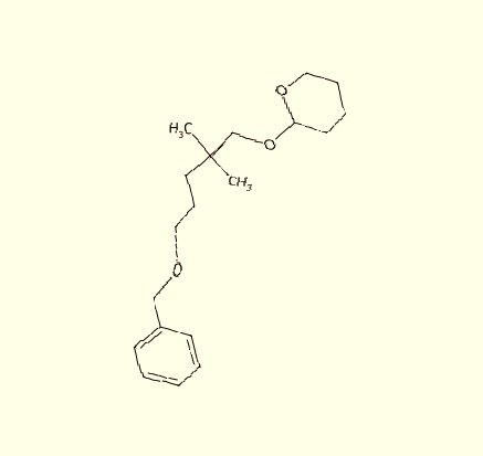 CC(C)(CCCOCc1ccccc1)COC1CCCCO1